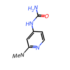 CNc1cc(NC(N)=O)ccn1